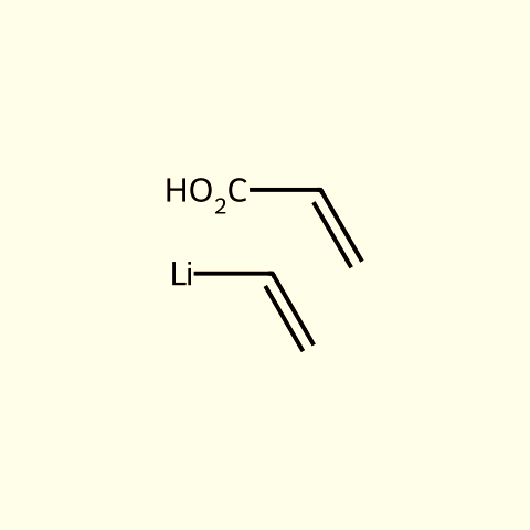 C=CC(=O)O.[Li][CH]=C